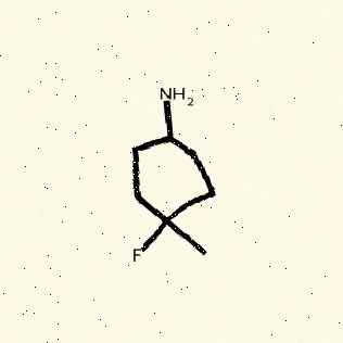 CC1(F)CCC(N)CC1